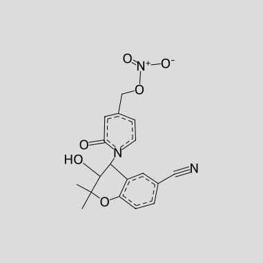 CC1(C)Oc2ccc(C#N)cc2C(n2ccc(CO[N+](=O)[O-])cc2=O)C1O